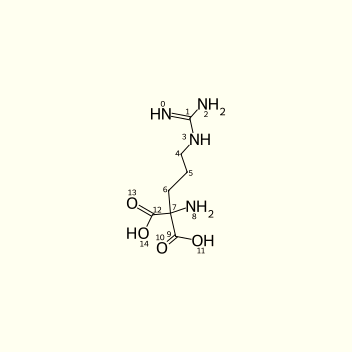 N=C(N)NCCCC(N)(C(=O)O)C(=O)O